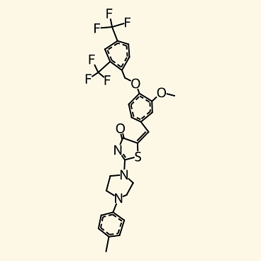 COc1cc(C=C2SC(N3CCN(c4ccc(C)cc4)CC3)=NC2=O)ccc1OCc1ccc(C(F)(F)F)cc1C(F)(F)F